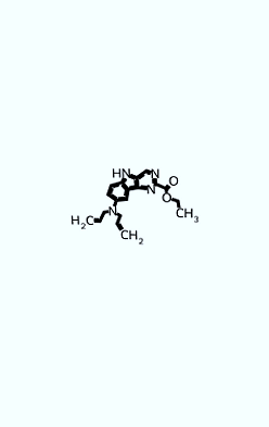 C=CCN(CC=C)c1ccc2[nH]c3cnc(C(=O)OCC)nc3c2c1